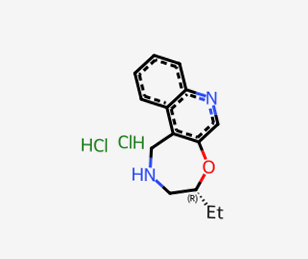 CC[C@@H]1CNCc2c(cnc3ccccc23)O1.Cl.Cl